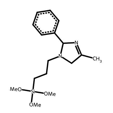 CO[Si](CCCN1CC(C)=NC1c1ccccc1)(OC)OC